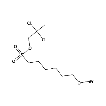 CC(C)OCCCCCCS(=O)(=O)OCC(C)(Cl)Cl